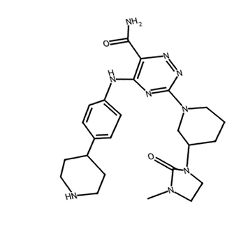 CN1CCN(C2CCCN(c3nnc(C(N)=O)c(Nc4ccc(C5CCNCC5)cc4)n3)C2)C1=O